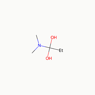 CCC(O)(O)N(C)C